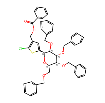 O=C(OCc1cc([C@@H]2O[C@H](COCc3ccccc3)[C@@H](OCc3ccccc3)[C@@H](OCc3ccccc3)[C@@H]2OCc2ccccc2)sc1Cl)c1ccccc1